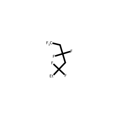 [CH2]CC(F)(F)CC(F)(F)CC(F)(F)F